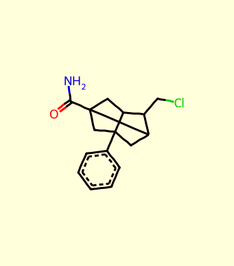 NC(=O)C12CC3C(CCl)C1CC3(c1ccccc1)C2